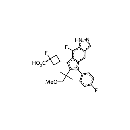 COCC(C)(C)c1c([C@H]2C[C@](F)(C(=O)O)C2)c2c(F)c3[nH]ncc3cc2n1-c1ccc(F)cc1